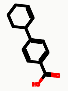 O=C(O)c1ccc(C2C=CCCC2)cc1